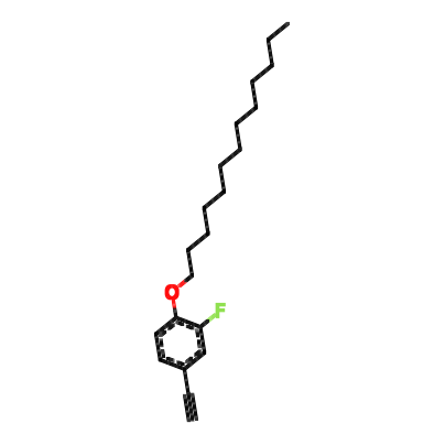 C#Cc1ccc(OCCCCCCCCCCCCC)c(F)c1